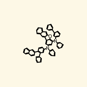 c1ccc(-c2cccc(N(c3ccccc3)c3cc(N(c4ccccc4)c4ccc(-c5ccc6ccccc6c5)c(-c5ccccc5)c4)cc4c3oc3cc5ccccc5cc34)c2)cc1